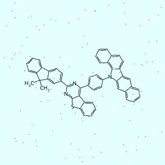 CC1(C)c2ccccc2-c2ccc(-c3nc(-c4ccc(-n5c6cc7ccccc7cc6c6ccc7ccccc7c65)cc4)c4c(n3)sc3ccccc34)cc21